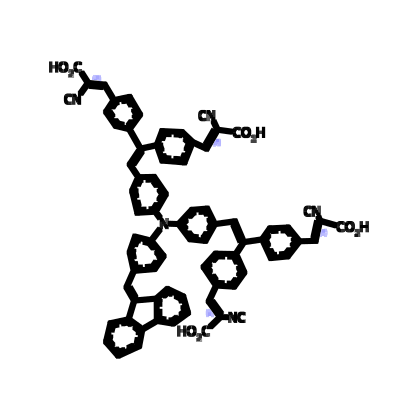 [C-]#[N+]/C(=C\c1ccc(C(=Cc2ccc(N(c3ccc(C=C(c4ccc(/C=C(\[N+]#[C-])C(=O)O)cc4)c4ccc(/C=C(\[N+]#[C-])C(=O)O)cc4)cc3)c3ccc(C=C4c5ccccc5-c5ccccc54)cc3)cc2)c2ccc(/C=C(\[N+]#[C-])C(=O)O)cc2)cc1)C(=O)O